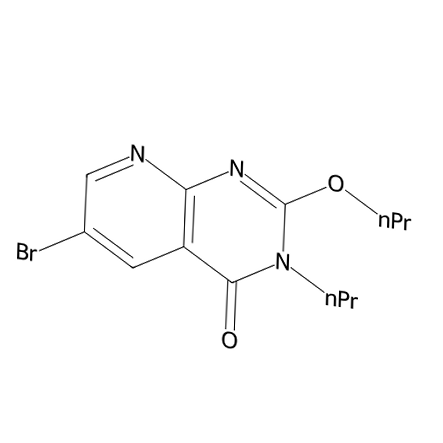 CCCOc1nc2ncc(Br)cc2c(=O)n1CCC